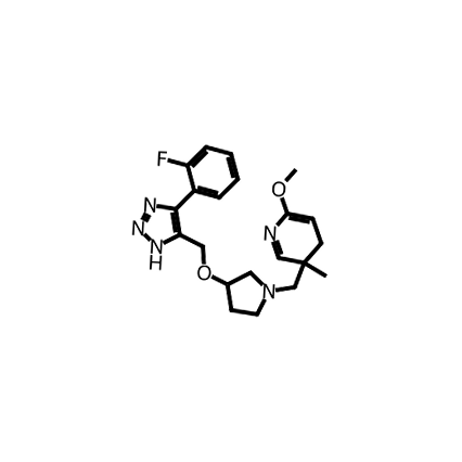 COC1=CCC(C)(CN2CCC(OCc3[nH]nnc3-c3ccccc3F)C2)C=N1